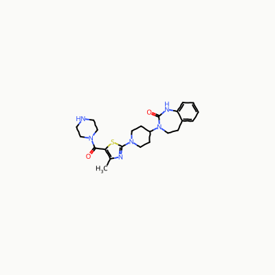 Cc1nc(N2CCC(N3CCc4ccccc4NC3=O)CC2)sc1C(=O)N1CCNCC1